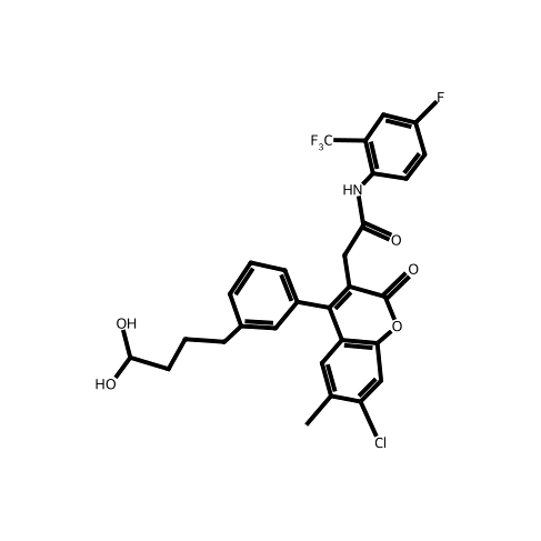 Cc1cc2c(-c3cccc(CCCC(O)O)c3)c(CC(=O)Nc3ccc(F)cc3C(F)(F)F)c(=O)oc2cc1Cl